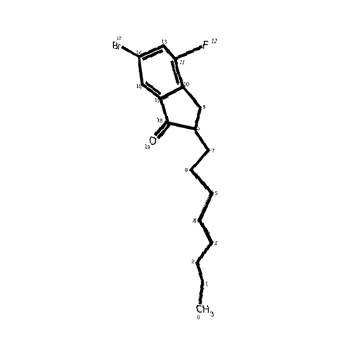 CCCCCCCCC1Cc2c(F)cc(Br)cc2C1=O